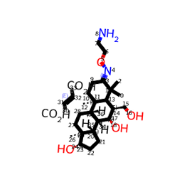 CC1(C)/C(=N/OCCN)CC[C@@]2(C)C1[C@@H](CO)[C@@H](O)[C@H]1[C@@H]3CC[C@H](O)[C@@]3(C)CC[C@@H]12.O=C(O)/C=C/C(=O)O